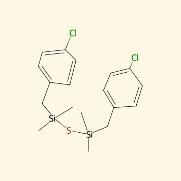 C[Si](C)(Cc1ccc(Cl)cc1)S[Si](C)(C)Cc1ccc(Cl)cc1